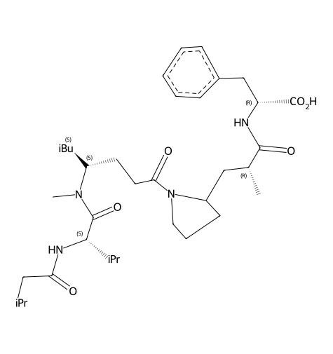 CC[C@H](C)[C@H](CCC(=O)N1CCCC1C[C@@H](C)C(=O)N[C@H](Cc1ccccc1)C(=O)O)N(C)C(=O)[C@@H](NC(=O)CC(C)C)C(C)C